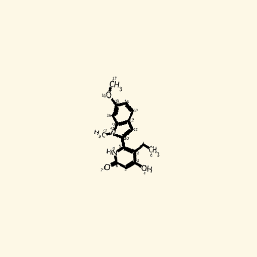 CCc1c(O)cc(=O)[nH]c1-c1cc2ccc(OC)cc2n1C